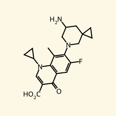 Cc1c(N2CC(N)CC3(CC3)C2)c(F)cc2c(=O)c(C(=O)O)cn(C3CC3)c12